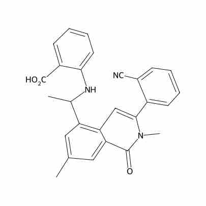 Cc1cc(C(C)Nc2ccccc2C(=O)O)c2cc(-c3ccccc3C#N)n(C)c(=O)c2c1